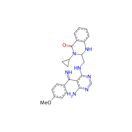 COc1ccc(C(=N)c2c(N)ncnc2NCC2Nc3ccccc3C(=O)N2C2CC2)cc1